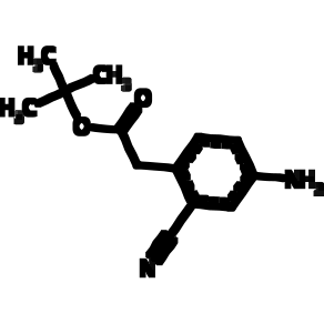 CC(C)(C)OC(=O)Cc1ccc(N)cc1C#N